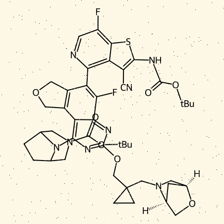 CC(C)(C)OC(=O)Nc1sc2c(F)cnc(-c3c4c(c5c(N6C7CCC6CN(C(=O)OC(C)(C)C)C7)nc(OCC6(CN7C[C@@H]8C[C@H]7CO8)CC6)nc5c3F)COC4)c2c1C#N